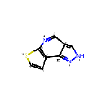 c1cc2c(ncc3c[nH]nc32)s1